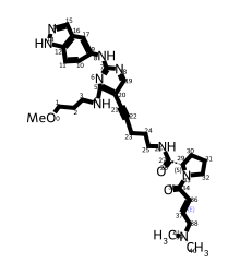 COCCCNc1nc(Nc2ccc3[nH]ncc3c2)ncc1C#CCCCNC(=O)[C@@H]1CCCN1C(=O)/C=C/CN(C)C